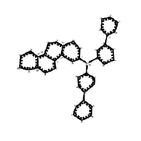 c1ccc(-c2ccc(N(c3cccc(-c4ccccc4)c3)c3ccc4ccc5c6ccccc6ccc5c4c3)cc2)cc1